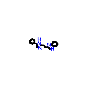 C(=Cc1ncc(-c2ccccc2)[nH]1)c1cnc2ccccc2n1